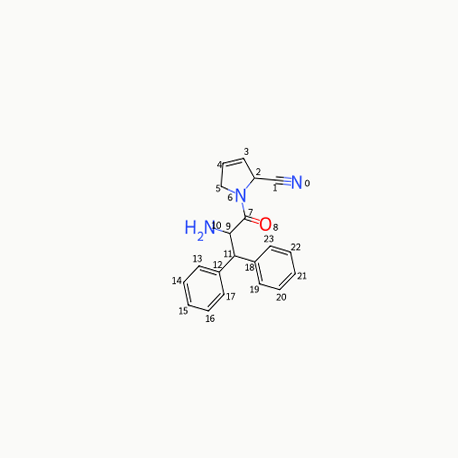 N#CC1C=CCN1C(=O)C(N)C(c1ccccc1)c1ccccc1